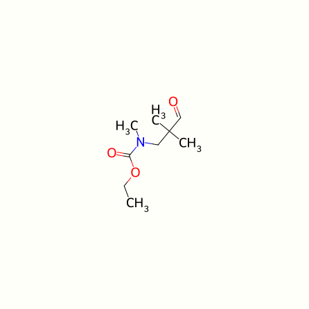 CCOC(=O)N(C)CC(C)(C)C=O